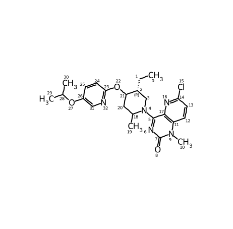 CC[C@@H]1CN(c2nc(=O)n(C)c3ccc(Cl)nc23)C(C)CC1Oc1ccc(OC(C)C)cn1